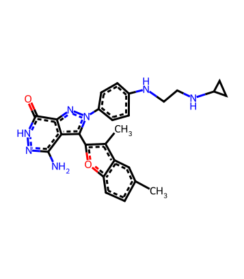 Cc1ccc2oc(-c3c4c(N)n[nH]c(=O)c4nn3-c3ccc(NCCNC4CC4)cc3)c(C)c2c1